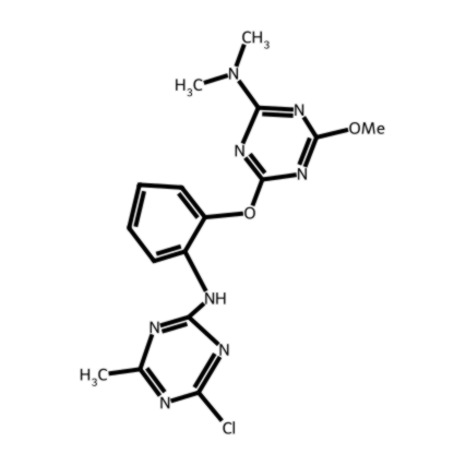 COc1nc(Oc2ccccc2Nc2nc(C)nc(Cl)n2)nc(N(C)C)n1